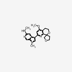 CNc1cc2c(-c3cc(OC)c4c(n3)C3(CCOC3)OCC4)cn(C)c2cn1